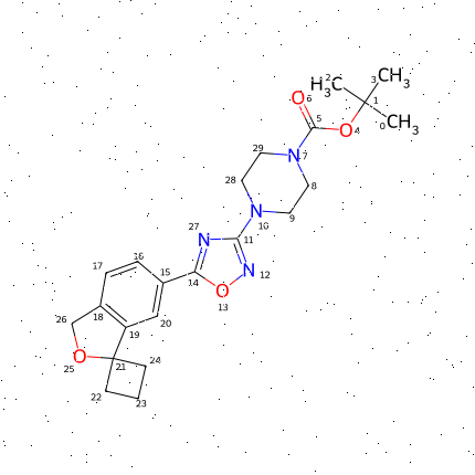 CC(C)(C)OC(=O)N1CCN(c2noc(-c3ccc4c(c3)C3(CCC3)OC4)n2)CC1